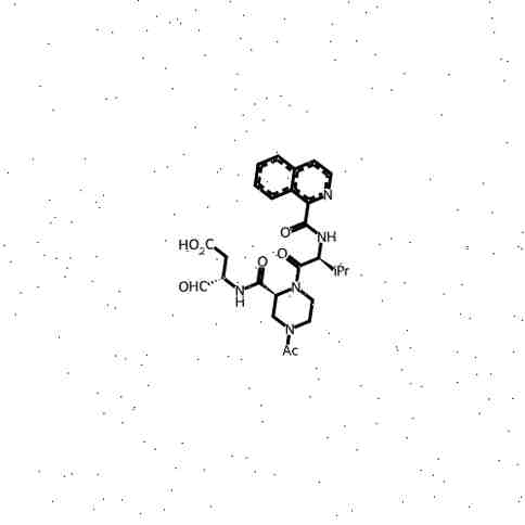 CC(=O)N1CCN(C(=O)[C@@H](NC(=O)c2nccc3ccccc23)C(C)C)[C@H](C(=O)N[C@H](C=O)CC(=O)O)C1